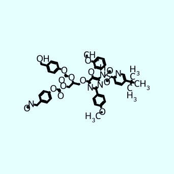 COc1ccc(-c2nc(NS(=O)(=O)c3ccc(C(C)(C)C)cn3)c(Oc3ccccc3OC)c(OCC(COC(=O)Oc3ccc(CN=O)cc3)OC(=O)Oc3ccc(CO)cc3)n2)cc1